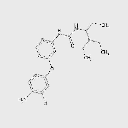 CCC(NC(=O)Nc1cc(Oc2ccc(N)c(Cl)c2)ccn1)N(CC)CC